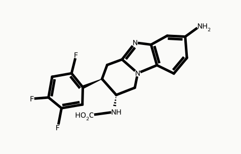 Nc1ccc2c(c1)nc1n2C[C@H](NC(=O)O)[C@@H](c2cc(F)c(F)cc2F)C1